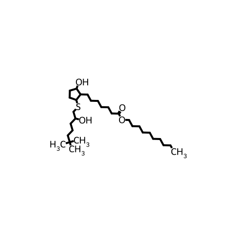 CCCCCCCCCCOC(=O)CCCCCCC1C(O)CCC1SCC(O)CCCC(C)(C)C